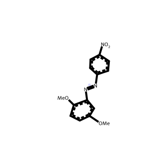 COc1ccc(OC)c(/N=N/c2ccc([N+](=O)[O-])cc2)c1